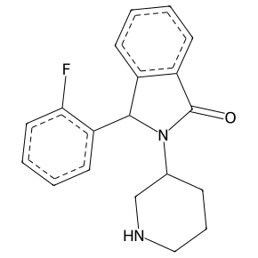 O=C1c2ccccc2C(c2ccccc2F)N1C1CCCNC1